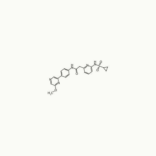 COc1cncc(-c2ccc(NC(=O)Cc3cccc(NS(=O)(=O)C4CC4)n3)cc2)n1